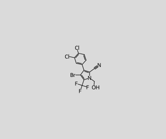 N#Cc1c(-c2ccc(Cl)c(Cl)c2)c(Br)c(C(F)(F)F)n1CO